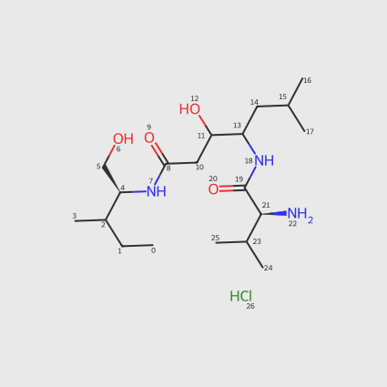 CCC(C)[C@@H](CO)NC(=O)CC(O)C(CC(C)C)NC(=O)[C@@H](N)C(C)C.Cl